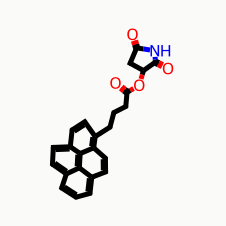 O=C1CC(OC(=O)CCCc2ccc3ccc4cccc5ccc2c3c45)C(=O)N1